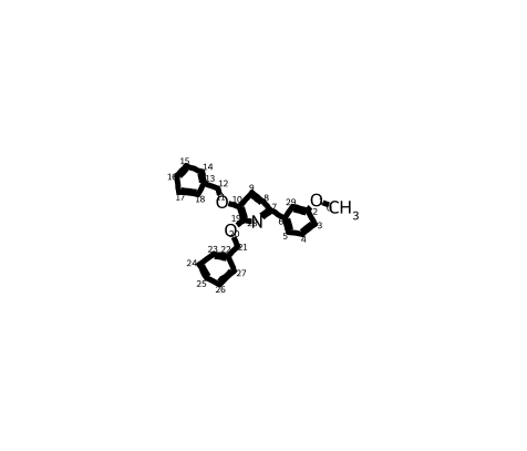 COc1cccc(-c2ccc(OCc3ccccc3)c(OCc3ccccc3)n2)c1